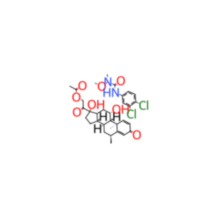 CC(=O)OCC(=O)[C@@]1(O)CC[C@H]2[C@@H]3C[C@H](C)C4=CC(=O)C=C[C@]4(C)[C@H]3[C@@H](O)C[C@@]21C.CON(C)C(=O)Nc1ccc(Cl)c(Cl)c1